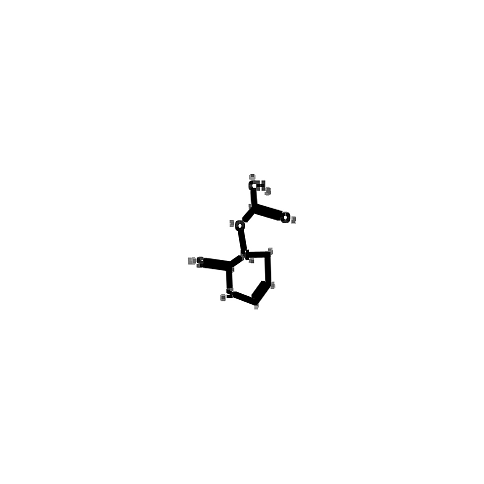 CC(=O)ON1CC=CSC1=S